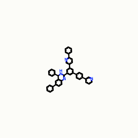 c1ccc(-c2ccc3c(c2)C(c2ccccc2)NC(c2cc(-c4ccc(-c5cccnc5)cc4)cc(-c4ccc(-c5ccccc5)nc4)c2)=N3)cc1